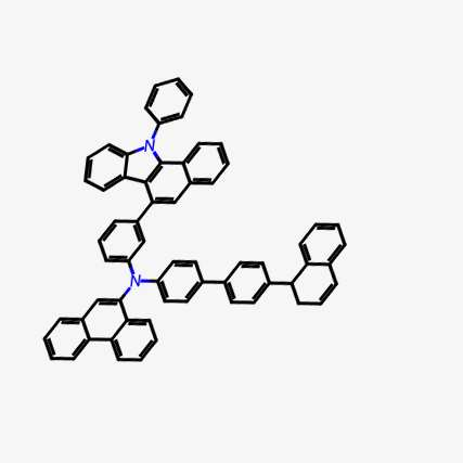 C1=Cc2ccccc2C(c2ccc(-c3ccc(N(c4cccc(-c5cc6ccccc6c6c5c5ccccc5n6-c5ccccc5)c4)c4cc5ccccc5c5ccccc45)cc3)cc2)C1